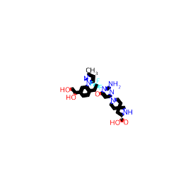 Cc1ccn(-c2cc(C(O)CO)ccc2[C@@H](Oc2cc(N3CCC4(CC3)CN[C@H](C(=O)O)C4)nc(N)n2)C(F)(F)F)n1